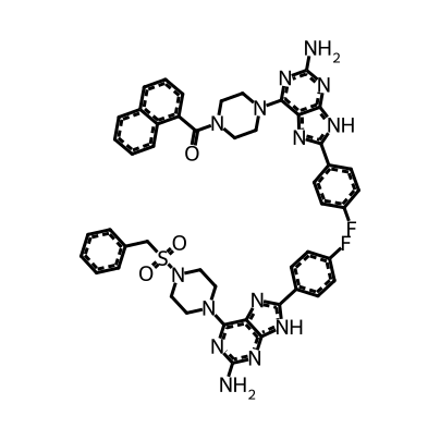 Nc1nc(N2CCN(C(=O)c3cccc4ccccc34)CC2)c2nc(-c3ccc(F)cc3)[nH]c2n1.Nc1nc(N2CCN(S(=O)(=O)Cc3ccccc3)CC2)c2nc(-c3ccc(F)cc3)[nH]c2n1